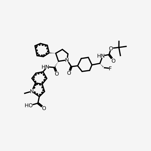 Cn1c(C(=O)O)cc2cc(NC(=O)[C@@H]3[C@H](c4ccccc4)CCN3C(=O)C3CCC([C@@H](CF)NC(=O)OC(C)(C)C)CC3)ccc21